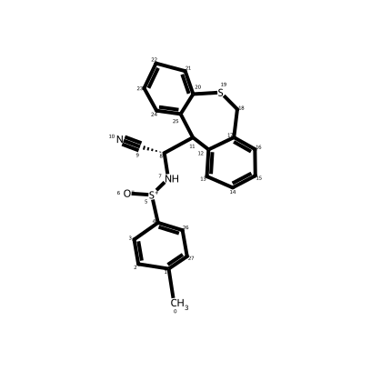 Cc1ccc([S+]([O-])N[C@H](C#N)C2c3ccccc3CSc3ccccc32)cc1